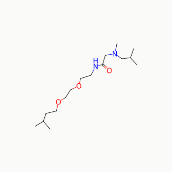 CC(C)CCOCCOCCNC(=O)CN(C)CC(C)C